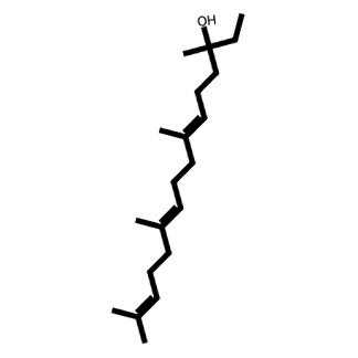 CCC(C)(O)CC/C=C(\C)CC/C=C(\C)CCC=C(C)C